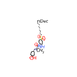 CCCCCCCCCCCCCCCCCCS(=O)(=O)c1ccc(NC(=O)/C(C)=C/c2ccc(O)cc2)cc1